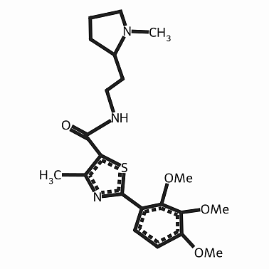 COc1ccc(-c2nc(C)c(C(=O)NCCC3CCCN3C)s2)c(OC)c1OC